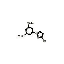 COc1cc(OC)cc(-n2ccc(Br)n2)c1